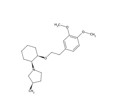 COc1ccc(CCO[C@@H]2CCCC[C@@H]2N2CC[C@@H](C)C2)cc1OC